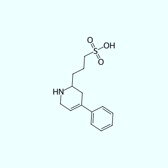 O=S(=O)(O)CCCC1CC(c2ccccc2)=CCN1